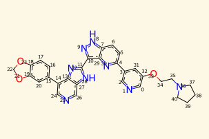 c1ncc(-c2ccc3[nH]nc(-c4nc5c(-c6ccc7c(c6)OCO7)cncc5[nH]4)c3n2)cc1OCCN1CCCC1